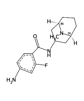 CN1[C@@H]2CCC[C@H]1CC(NC(=O)c1ccc(N)cc1F)C2